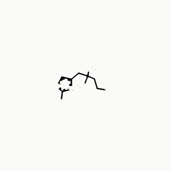 CC(C)(C)c1nc(CC(C#N)(C#N)CCC(F)(F)F)cs1